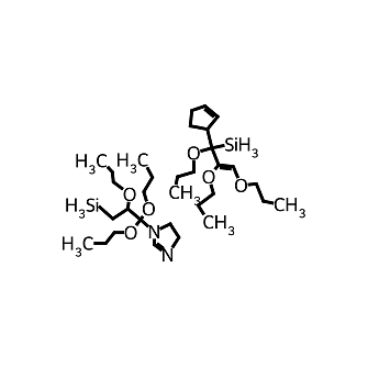 CCCOC(C[SiH3])C(OCCC)(OCCC)N1C=NCC1.CCCOC=C(OCCC)C([SiH3])(OCCC)C1C=CCC1